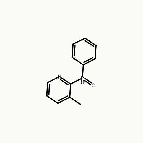 Cc1cccnc1[PH](=O)c1ccccc1